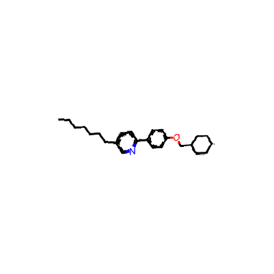 CCCCCCCc1ccc(-c2ccc(OCC3CC[CH]CC3)cc2)nc1